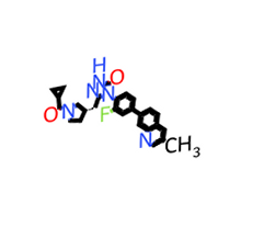 Cc1cnc2cc(-c3ccc(-n4c(C[C@@H]5CCN(C(=O)C6CC6)C5)n[nH]c4=O)c(F)c3)ccc2c1